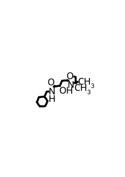 CC1(C)COC(C[C@H](O)C(=O)NCC2CCCCC2)=N1